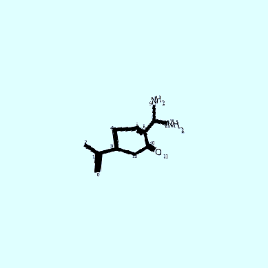 C=C(C)C1CC=C(C(N)N)C(=O)C1